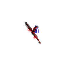 CCCCCCCCCCCC(=O)OCCCCCC(CCCCCOC(=O)CCCCCCCCCCC)OC(=O)NCCOCCN(C)CC